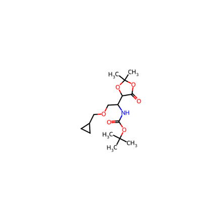 CC(C)(C)OC(=O)NC(COCC1CC1)C1OC(C)(C)OC1=O